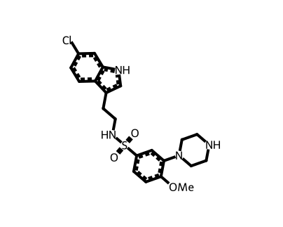 COc1ccc(S(=O)(=O)NCCc2c[nH]c3cc(Cl)ccc23)cc1N1CCNCC1